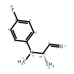 C[C@@H]([C]=O)N(C)c1ccc(F)cc1